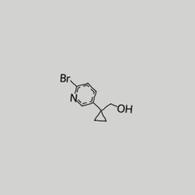 OCC1(c2ccc(Br)nc2)CC1